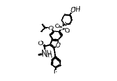 CNC(=O)c1c(-c2ccc(F)cc2)oc2cc(S(=O)(=O)N3CCC(O)CC3)c(OC(C)C)cc12